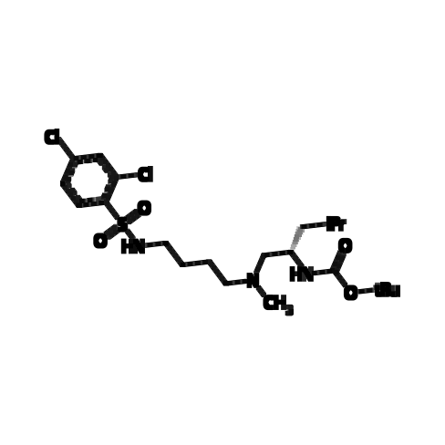 CC(C)C[C@@H](CN(C)CCCCNS(=O)(=O)c1ccc(Cl)cc1Cl)NC(=O)OC(C)(C)C